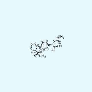 CC(=O)SC(C(=O)O)c1ccc(-c2ccccc2S(C)(=O)=O)cc1